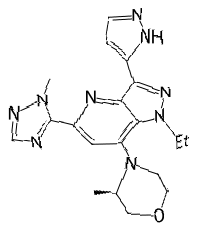 CCn1nc(-c2ccn[nH]2)c2nc(-c3ncnn3C)cc(N3CCOC[C@H]3C)c21